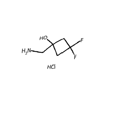 Cl.NCC1(O)CC(F)(F)C1